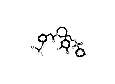 CC(C)Oc1cccc(CC(=O)N2CCCCC(CCOS(=O)(=O)c3ccccc3)(c3ccc(Cl)c(Cl)c3)C2)c1